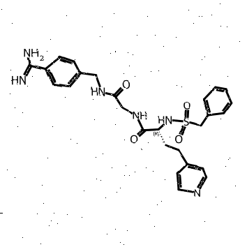 N=C(N)c1ccc(CNC(=O)CNC(=O)[C@@H](CCc2ccncc2)NS(=O)(=O)Cc2ccccc2)cc1